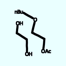 CCCCOCCOC(C)=O.OCCO